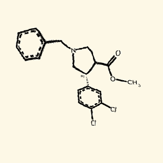 COC(=O)C1CN(Cc2ccccc2)C[C@H]1c1ccc(Cl)c(Cl)c1